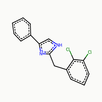 Clc1cccc(Cc2nc(-c3ccccc3)c[nH]2)c1Cl